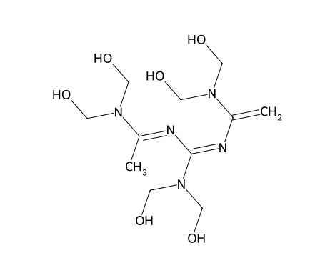 C=C(/N=C(\N=C(/C)N(CO)CO)N(CO)CO)N(CO)CO